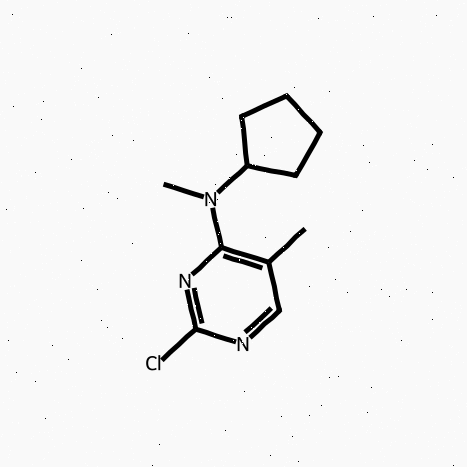 Cc1cnc(Cl)nc1N(C)C1CCCC1